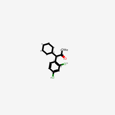 COC(=O)C(c1ccc(Cl)cc1Cl)C1CCCCC1